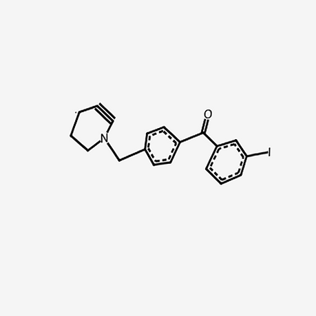 O=C(c1ccc(CN2C#C[CH]CC2)cc1)c1cccc(I)c1